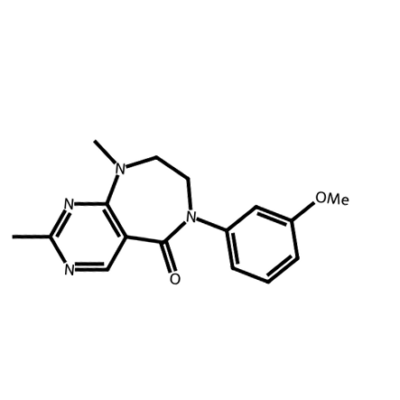 COc1cccc(N2CCN(C)c3nc(C)ncc3C2=O)c1